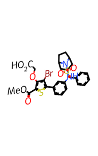 COC(=O)c1sc(-c2cccc(NC3CC4CCC(C3)N4S(=O)(=O)Cc3ccccc3)c2)c(Br)c1OCC(=O)O